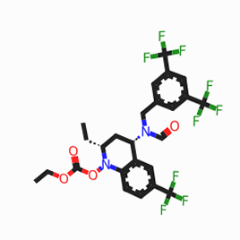 CCOC(=O)ON1c2ccc(C(F)(F)F)cc2[C@@H](N(C=O)Cc2cc(C(F)(F)F)cc(C(F)(F)F)c2)C[C@H]1CC